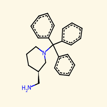 NC[C@H]1CCCN(C(c2ccccc2)(c2ccccc2)c2ccccc2)C1